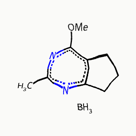 B.COc1nc(C)nc2c1CCC2